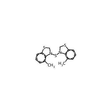 Cc1cccc2c1N(SN1CSc3cccc(C)c31)CS2